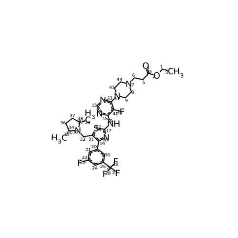 CCOC(=O)CCN1CCN(c2ncnc(Nc3nc(-c4cc(F)cc(C(F)(F)F)c4)c(CN4[C@H](C)CC[C@H]4C)s3)c2F)CC1